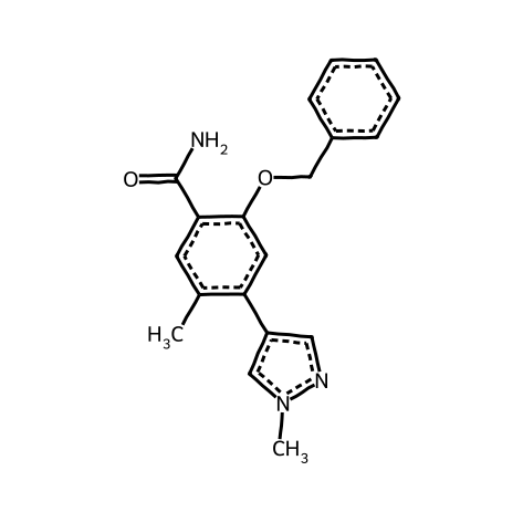 Cc1cc(C(N)=O)c(OCc2ccccc2)cc1-c1cnn(C)c1